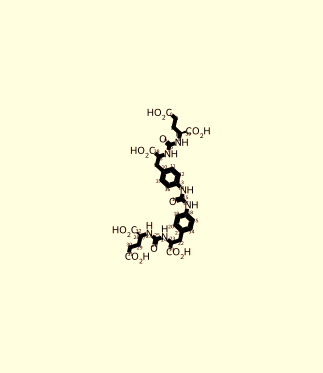 O=C(O)CC[C@H](NC(=O)NC(Cc1ccc(NC(=O)Nc2ccc(CC(NC(=O)N[C@@H](CCC(=O)O)C(=O)O)C(=O)O)cc2)cc1)C(=O)O)C(=O)O